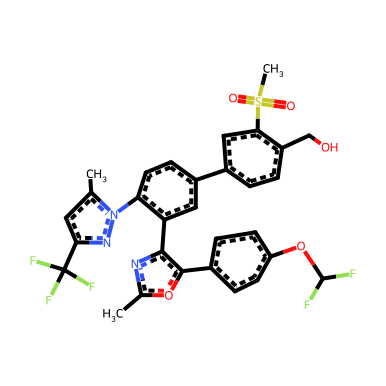 Cc1nc(-c2cc(-c3ccc(CO)c(S(C)(=O)=O)c3)ccc2-n2nc(C(F)(F)F)cc2C)c(-c2ccc(OC(F)F)cc2)o1